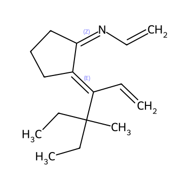 C=C/N=C1/CCC/C1=C(/C=C)C(C)(CC)CC